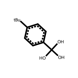 CC(C)(C)c1ccc(C(O)(O)O)cc1